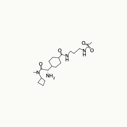 CN(C(=O)[C@@H](N)C1CCC(C(=O)NCCCNS(C)(=O)=O)CC1)C1CCC1